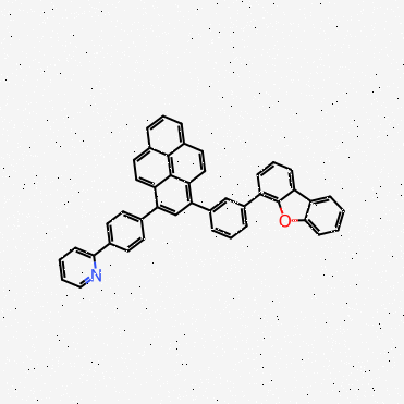 c1ccc(-c2ccc(-c3cc(-c4cccc(-c5cccc6c5oc5ccccc56)c4)c4ccc5cccc6ccc3c4c65)cc2)nc1